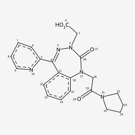 O=C(O)CN1N=C(c2ccccn2)c2ccccc2N(CC(=O)N2CCCC2)C1=O